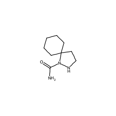 NC(=O)N1NCCC12CCCCC2